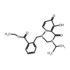 CCOC(=O)c1ccccc1CN1CN(C(C)C)C(=O)c2c(O)c(=O)ccn21